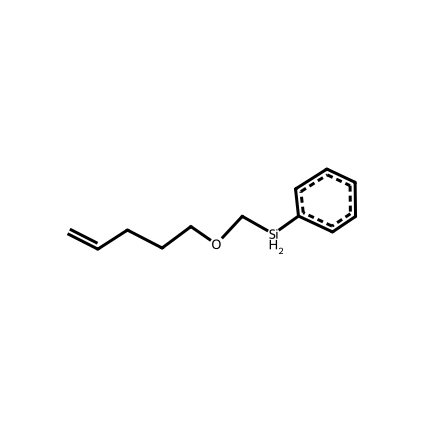 C=CCCCOC[SiH2]c1ccccc1